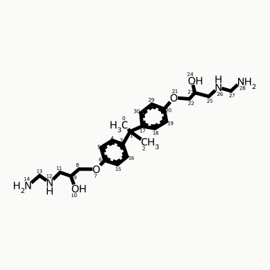 CC(C)(c1ccc(OCC(O)CNCN)cc1)c1ccc(OCC(O)CNCN)cc1